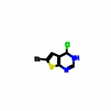 CCc1cc2c(s1)N=CNC2Cl